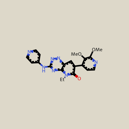 CCn1c(=O)c(-c2ccnc(OC)c2OC)cc2nnc(Nc3ccncc3)nc21